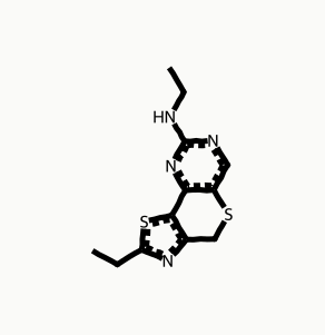 CCNc1ncc2c(n1)-c1sc(CC)nc1CS2